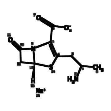 CC(N)CC1=C(C(=O)[O-])N2C(=O)C[C@H]2S1.[Na+]